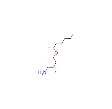 CCCCCC(C)OCC[C@H](C)CN